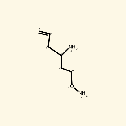 C=CCC(N)CCON